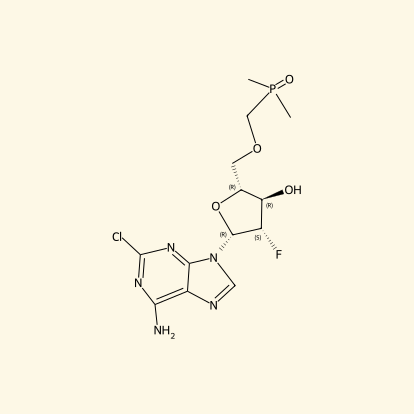 CP(C)(=O)COC[C@H]1O[C@@H](n2cnc3c(N)nc(Cl)nc32)[C@@H](F)[C@@H]1O